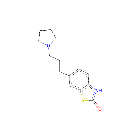 O=c1[nH]c2ccc(CCCN3CCCC3)cc2s1